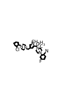 CC1CN(c2cc(F)ccc2C#N)CCN1C(=O)c1cc(CN2CCN(c3ccccc3Cl)CC2)cn1C